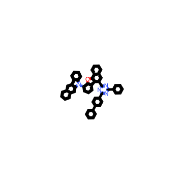 c1ccc(-c2ccc(-c3nc(-c4ccccc4)nc(-c4cc5ccccc5c5oc6c(-n7c8ccccc8c8cc9ccccc9cc87)cccc6c45)n3)cc2)cc1